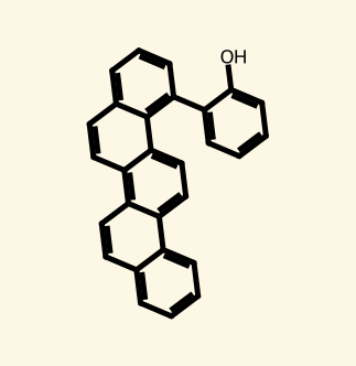 Oc1ccccc1-c1cccc2ccc3c4ccc5ccccc5c4ccc3c12